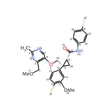 COCc1nc(C)ncc1OC[C@@]1(c2ccc(F)c(OC)c2)C[C@H]1C(=O)Nc1ccc(F)cc1